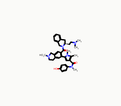 Cc1c(C(=O)N(C)c2ccc(O)cc2)cc(-c2cc3c(cc2C(=O)N2Cc4ccccc4C[C@H]2CCN(C)C)CN(C(=O)O)CC3)n1C